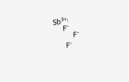 [F-].[F-].[F-].[Sb+3]